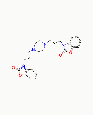 O=c1oc2ccccc2n1CCCN1CCN(CCCn2c(=O)oc3ccccc32)CC1